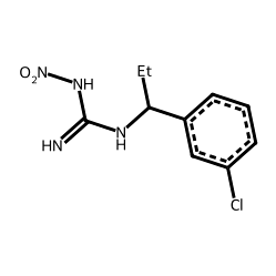 CCC(NC(=N)N[N+](=O)[O-])c1cccc(Cl)c1